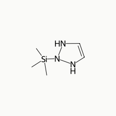 C[Si](C)(C)N1NC=CN1